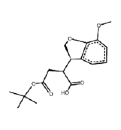 COc1cccc2c1OC[C@@H]2[C@H](CC(=O)OC(C)(C)C)C(=O)O